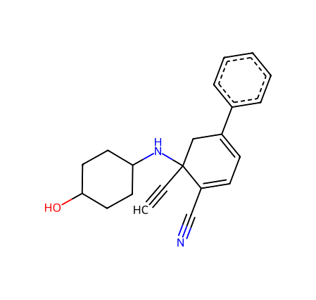 C#CC1(NC2CCC(O)CC2)CC(c2ccccc2)=CC=C1C#N